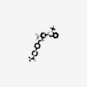 CN(C)C(=O)N1CCN(C2CCC(CNc3nc(NCc4ccccc4OC(F)(F)F)ncc3[N+](=O)[O-])CC2)CC1